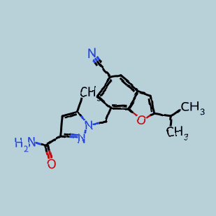 Cc1cc(C(N)=O)nn1Cc1cc(C#N)cc2cc(C(C)C)oc12